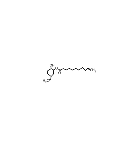 C=CCCCCCCCCC(=O)OC1CC(C=C)CCC1O